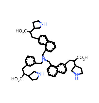 O=C(O)C(Cc1cccc(CN(Cc2cccc3ccc(CC(C(=O)O)C4CCNC4)cc23)Cc2cccc3ccc(CC(C(=O)O)C4CCNC4)cc23)c1)C1CCNC1